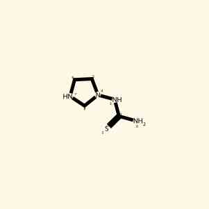 NC(=S)NN1CCNC1